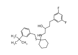 CC(C)(C)c1cccc(CSC2(NCC(O)CCc3cc(F)cc(F)c3)CCCCC2)c1